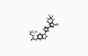 CCn1nc(-c2nc(N3CCc4cc(CN(C)CCC(=O)O)ccc43)no2)c2c1CC(C)(C)CC2